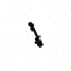 Cc1nn(CCCCCCNc2ccc3c(c2)C(=O)N(C2CCC(=O)NC2=O)C3=O)cc1-c1cnc2ccccc2n1